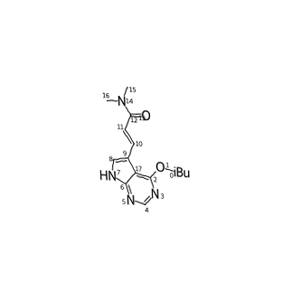 CCC(C)Oc1ncnc2[nH]cc(/C=C/C(=O)N(C)C)c12